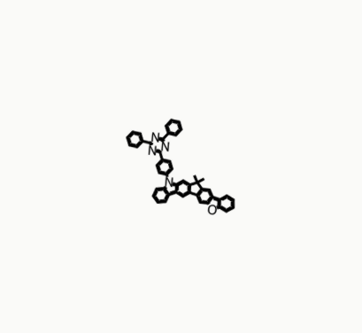 CC1(C)c2cc3c(cc2-c2cc4c5ccccc5n(-c5ccc(-c6nc(-c7ccccc7)nc(-c7ccccc7)n6)cc5)c4cc21)oc1ccccc13